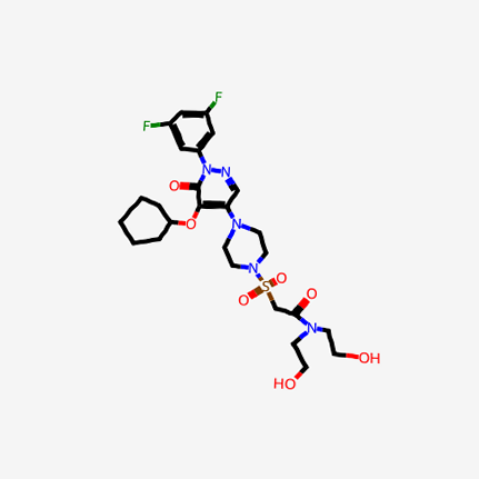 O=C(CS(=O)(=O)N1CCN(c2cnn(-c3cc(F)cc(F)c3)c(=O)c2OC2CCCCC2)CC1)N(CCO)CCO